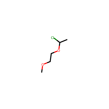 COCCOC(C)Cl